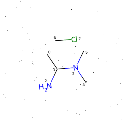 CC(N)N(C)C.CCl